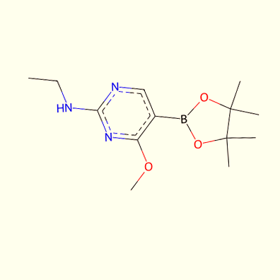 CCNc1ncc(B2OC(C)(C)C(C)(C)O2)c(OC)n1